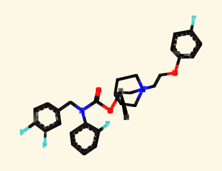 O=C(O[C@H]1C[N+]2(CCOc3ccc(F)cc3)CCC1CC2)N(Cc1ccc(F)c(F)c1)c1ccccc1F